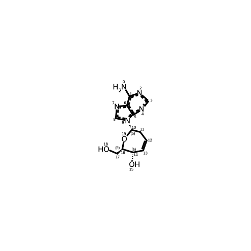 Nc1ncnc2c1ncn2[C@@H]1CC=C[C@H](O)[C@@H](CO)O1